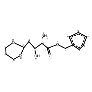 N[C@H](C(=O)OCc1ccccc1)[C@@H](O)CC1OCCCO1